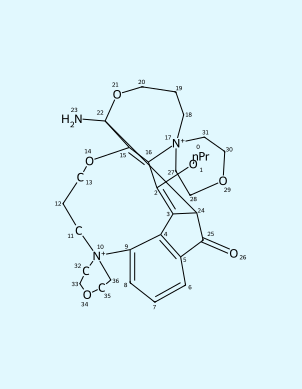 CCCOC1=C2c3c4cccc3[N+]3(CCCOC5=C1[N+]1(CCCOC5(N)C2C4=O)CCOCC1)CCOCC3